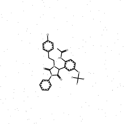 CC(=O)Nc1ccc(OC(F)(F)F)cc1C1C(=O)N(c2ccccc2)C(=S)N1CCc1ccc(Cl)cc1